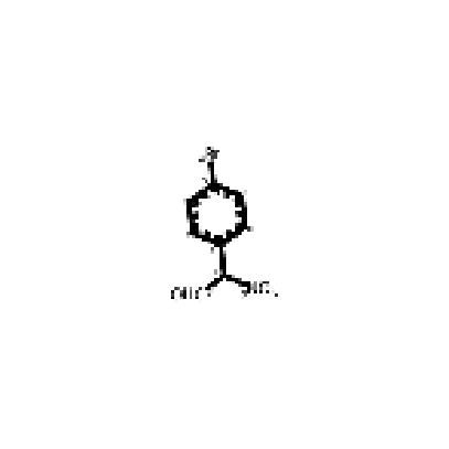 O=CC(c1ccc(Br)cc1)[N+](=O)[O-]